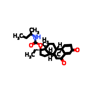 CCC(C)NC(=O)O[C@]1(CC)CC[C@H]2[C@@H]3CC(=O)C4=CC(=O)C=C[C@]4(C)[C@H]3CC[C@@]21C